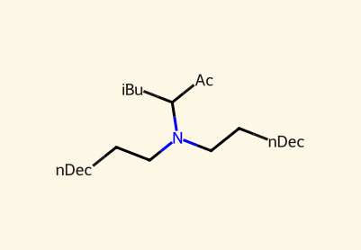 CCCCCCCCCCCCN(CCCCCCCCCCCC)C(C(C)=O)C(C)CC